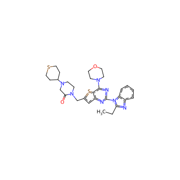 CCc1nc2ccccc2n1-c1nc(N2CCOCC2)c2sc(CN3CCN(C4CCSCC4)CC3=O)cc2n1